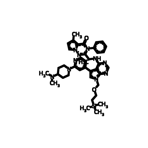 Cc1ccn2nc([C@H](C)Nc3ncnc4c3c(-c3ccnc(N5CCC(N(C)C)CC5)c3)cn4COCC[Si](C)(C)C)n(-c3ccccc3)c(=O)c12